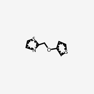 [c]1sccc1OCc1nccs1